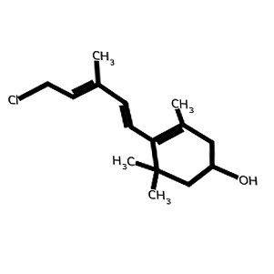 CC(C=CC1=C(C)CC(O)CC1(C)C)=CCCl